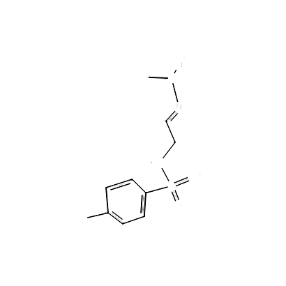 Cc1ccc(S(=O)(=O)OCC=N[S+]([O-])C(C)(C)C)cc1